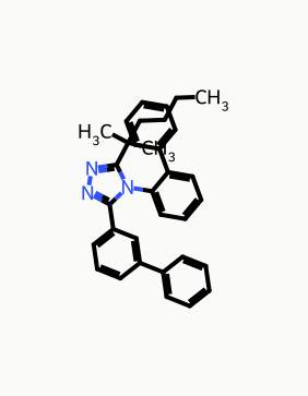 CCCCC(C)(C)c1nnc(-c2cccc(-c3ccccc3)c2)n1-c1ccccc1-c1ccccc1